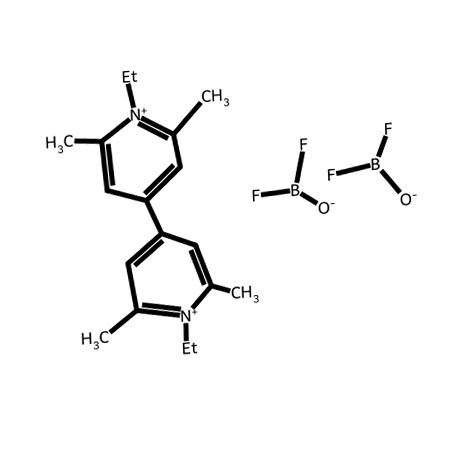 CC[n+]1c(C)cc(-c2cc(C)[n+](CC)c(C)c2)cc1C.[O-]B(F)F.[O-]B(F)F